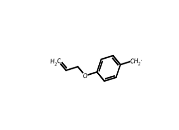 [CH2]c1ccc(OCC=C)cc1